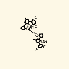 Cc1cc(-c2cc(F)cc(F)c2)c(O)c(-c2ccccc2OCCCCOc2ccccc2-c2cc(C)cc(-c3cc(F)cc(F)c3)c2O)c1